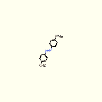 CNc1ccc(N=Nc2ccc(C=O)cc2)cc1